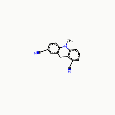 CN1c2ccc(C#N)cc2Cc2c(C#N)cccc21